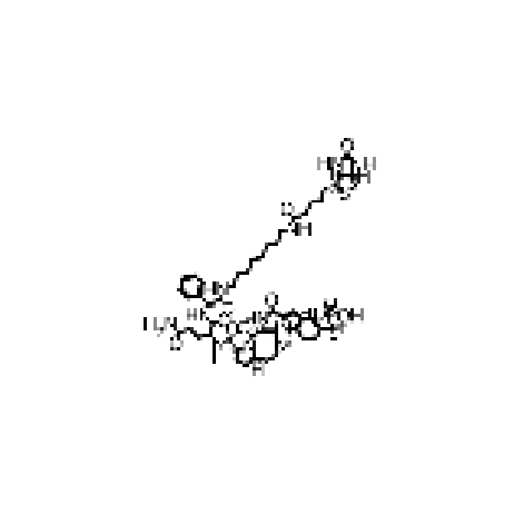 CN1CC[C@H]2CC[C@@H](C(=O)NC(CCC(N)=O)C(=O)N[C@H](C(=O)NCCCCCCCCNC(=O)CCCC[C@@H]3SC[C@@H]4NC(=O)N[C@@H]43)c3ccccc3)N2C(=O)[C@@H](NC(=O)c2cc3cc(C(F)(F)P(=O)(O)O)ccc3[nH]2)C1